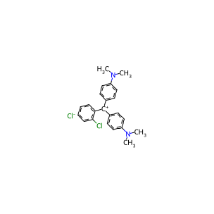 CN(C)c1ccc([C+](c2ccc(N(C)C)cc2)c2ccccc2Cl)cc1.[Cl-]